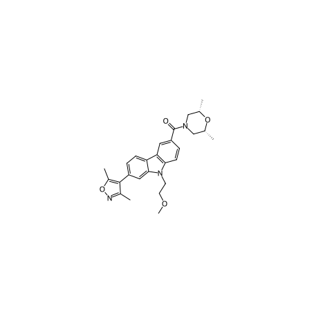 COCCn1c2ccc(C(=O)N3C[C@@H](C)O[C@@H](C)C3)cc2c2ccc(-c3c(C)noc3C)cc21